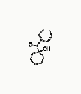 C/C=C\C(=C/C)C(=O)C1(O)CCCCC1